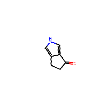 O=C1CCc2[c][nH]cc21